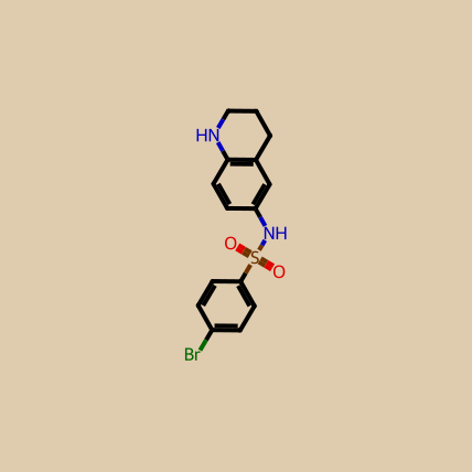 O=S(=O)(Nc1ccc2c(c1)CCCN2)c1ccc(Br)cc1